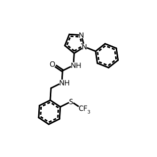 O=C(NCc1ccccc1SC(F)(F)F)Nc1ccnn1-c1ccccc1